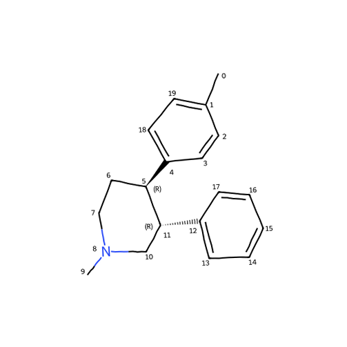 Cc1ccc([C@@H]2CCN(C)C[C@H]2c2ccccc2)cc1